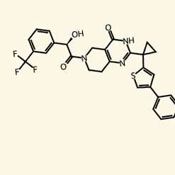 O=C([C@H](O)c1cccc(C(F)(F)F)c1)N1CCc2nc(C3(c4cc(-c5ccccc5)cs4)CC3)[nH]c(=O)c2C1